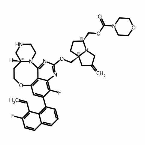 C=Cc1c(F)ccc2cccc(-c3cc4c5c(nc(OC[C@@]67CC[C@@H](COC(=O)N8CCOCC8)N6CC(=C)C7)nc5c3F)N3CCNC[C@H]3CCO4)c12